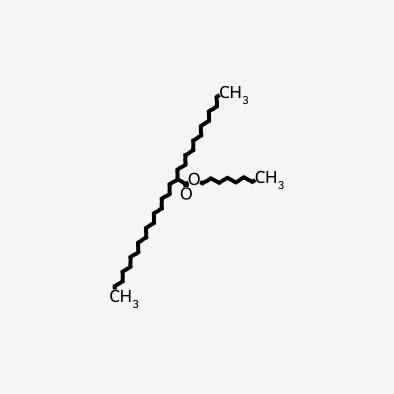 CCCCCCCCCCCCCCCCC(CCCCCCCCCCCC)C(=O)OCCCCCCCC